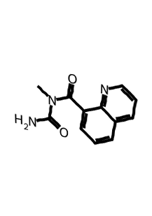 CN(C(N)=O)C(=O)c1cccc2cccnc12